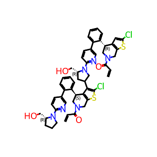 C=CC(=O)N1Cc2sc(Cl)cc2[C@@H](c2ccccc2-c2ccc(N3CC(c4c(Cl)sc5c4[C@H](c4ccccc4-c4ccc(N6CCC[C@@H]6CO)nc4)CN(C(=O)C=C)C5)C[C@@H]3CO)nc2)C1